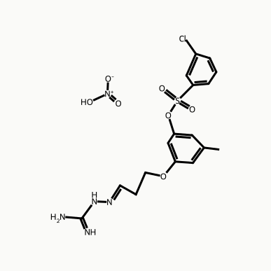 Cc1cc(OCCC=NNC(=N)N)cc(OS(=O)(=O)c2cccc(Cl)c2)c1.O=[N+]([O-])O